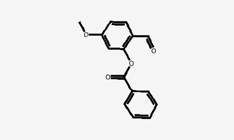 COc1ccc(C=O)c(OC(=O)c2ccccc2)c1